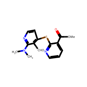 COC(=O)c1cccnc1Sc1ccnc(N(C)C)c1C=O